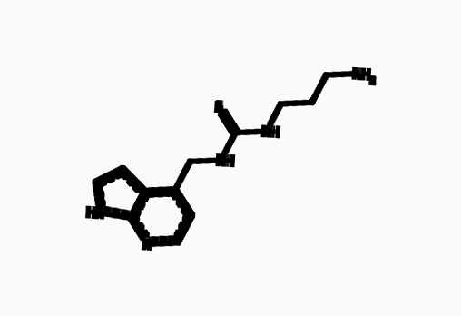 NCCCNC(=S)NCc1ccnc2[nH]ccc12